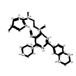 C=Nc1c(N(C)CCN(C)c2ncc(C)cn2)nc(-c2ccc3c(c2)OCCO3)nc1N1CCOCC1